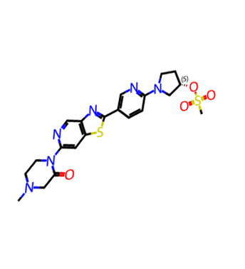 CN1CCN(c2cc3sc(-c4ccc(N5CC[C@H](OS(C)(=O)=O)C5)nc4)nc3cn2)C(=O)C1